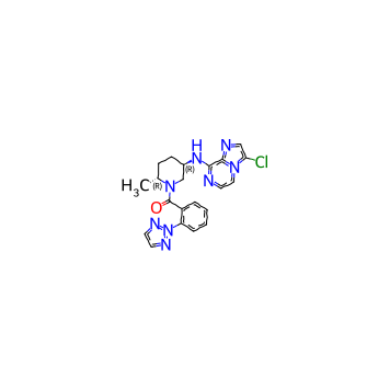 C[C@@H]1CC[C@@H](Nc2nccn3c(Cl)cnc23)CN1C(=O)c1ccccc1-n1nccn1